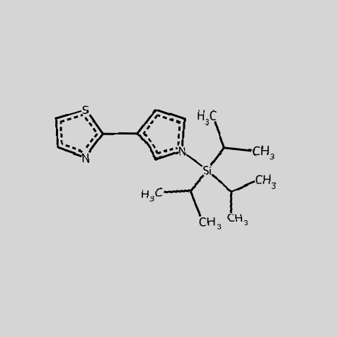 CC(C)[Si](C(C)C)(C(C)C)n1ccc(-c2nccs2)c1